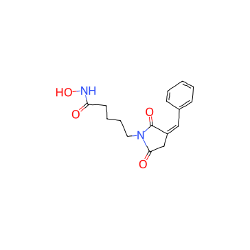 O=C(CCCCN1C(=O)CC(=Cc2ccccc2)C1=O)NO